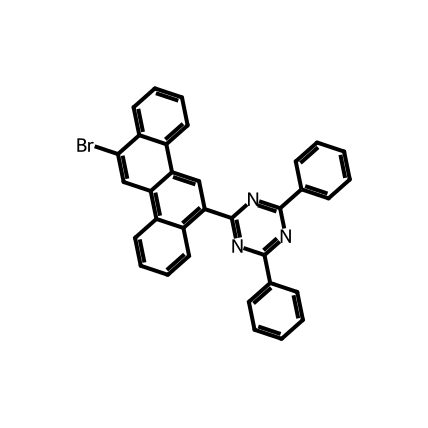 Brc1cc2c3ccccc3c(-c3nc(-c4ccccc4)nc(-c4ccccc4)n3)cc2c2ccccc12